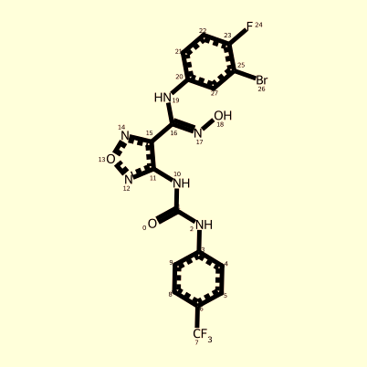 O=C(Nc1ccc(C(F)(F)F)cc1)Nc1nonc1/C(=N/O)Nc1ccc(F)c(Br)c1